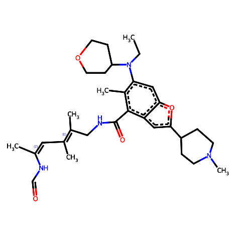 CCN(c1cc2oc(C3CCN(C)CC3)cc2c(C(=O)NC/C(C)=C(C)/C=C(/C)NC=O)c1C)C1CCOCC1